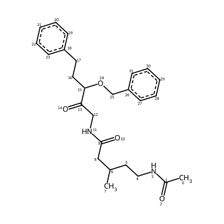 CC(=O)NCCC(C)CC(=O)NCC(=O)C(CCc1ccccc1)OCc1ccccc1